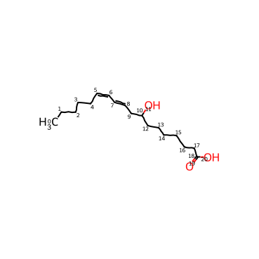 CCCCC/C=C\C=C\CC(O)CCCCCCC(=O)O